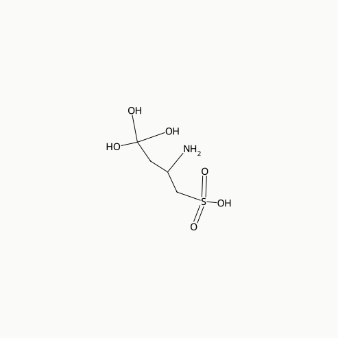 NC(CC(O)(O)O)CS(=O)(=O)O